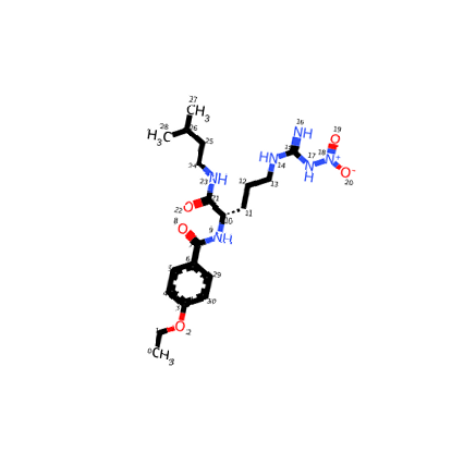 CCOc1ccc(C(=O)N[C@@H](CCCNC(=N)N[N+](=O)[O-])C(=O)NCCC(C)C)cc1